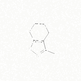 CC1=[N+]NC2=C1CCCC2